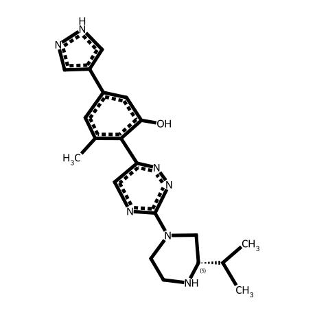 Cc1cc(-c2cn[nH]c2)cc(O)c1-c1cnc(N2CCN[C@@H](C(C)C)C2)nn1